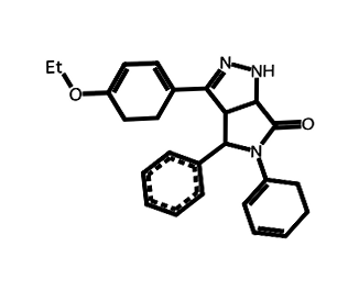 CCOC1=CC=C(C2=NNC3C(=O)N(C4=CC=CCC4)C(c4ccccc4)C23)CC1